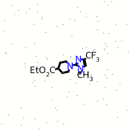 CCOC(=O)C1CCN(c2nc(C(F)(F)F)cn2C)CC1